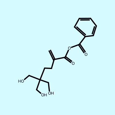 C=C(CCC(CO)(CO)CO)C(=O)OC(=O)c1ccccc1